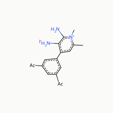 CC(=O)c1cc(C(C)=O)cc(-c2cc(C)[n+](C)c(N)c2N)c1.[I-]